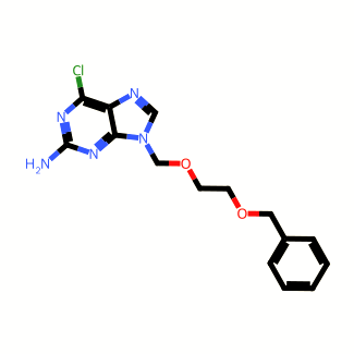 Nc1nc(Cl)c2ncn(COCCOCc3ccccc3)c2n1